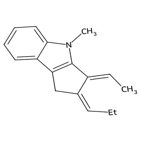 C/C=C1\C(=C/CC)Cc2c1n(C)c1ccccc21